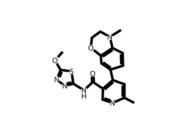 COc1nnc(NC(=O)c2cnc(C)cc2-c2ccc3c(c2)OCCN3C)s1